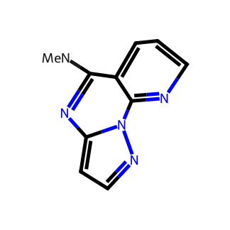 CNc1nc2ccnn2c2ncccc12